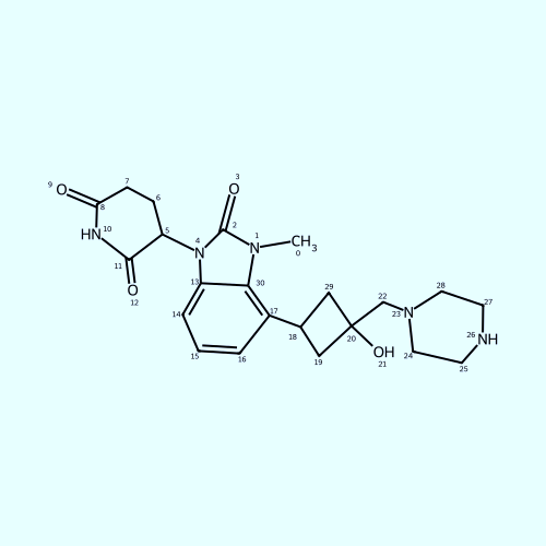 Cn1c(=O)n(C2CCC(=O)NC2=O)c2cccc(C3CC(O)(CN4CCNCC4)C3)c21